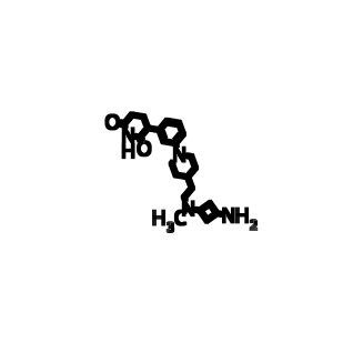 CN(CCC1CCN(c2cccc(C3CCC(=O)NC3=O)c2)CC1)C1CC(N)C1